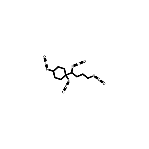 O=C=NCCCC(N=C=O)C1(N=C=O)CCC(N=C=O)CC1